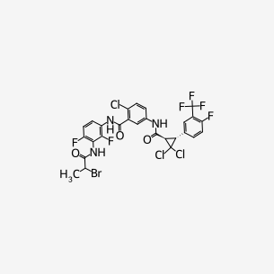 CC(Br)C(=O)Nc1c(F)ccc(NC(=O)c2cc(NC(=O)[C@H]3[C@H](c4ccc(F)c(C(F)(F)F)c4)C3(Cl)Cl)ccc2Cl)c1F